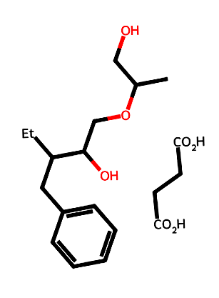 CCC(Cc1ccccc1)C(O)COC(C)CO.O=C(O)CCC(=O)O